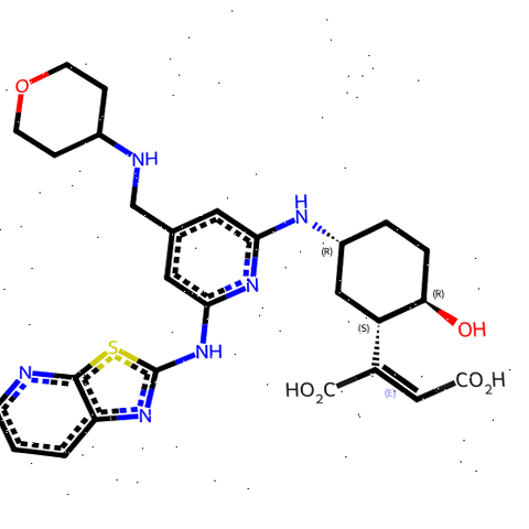 O=C(O)/C=C(/C(=O)O)[C@@H]1C[C@H](Nc2cc(CNC3CCOCC3)cc(Nc3nc4cccnc4s3)n2)CC[C@H]1O